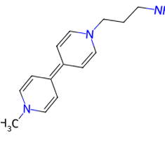 CN1C=CC(=C2C=CN(CCCN)C=C2)C=C1